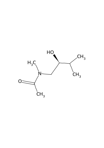 CC(=O)N(C)C[C@@H](O)C(C)C